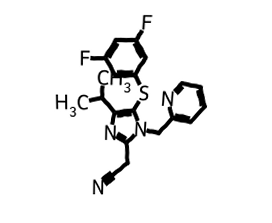 CC(C)c1nc(CC#N)n(Cc2ccccn2)c1Sc1cc(F)cc(F)c1